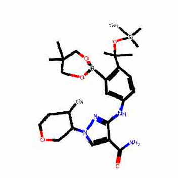 CC1(C)COB(c2cc(Nc3nn(C4COCCC4C#N)cc3C(N)=O)ccc2C(C)(C)O[Si](C)(C)C(C)(C)C)OC1